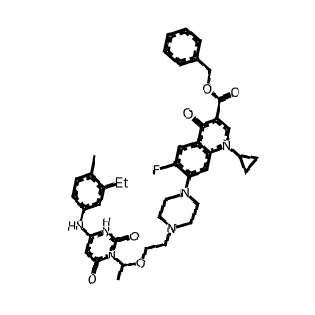 CCc1cc(Nc2cc(=O)n(C(C)OCCN3CCN(c4cc5c(cc4F)c(=O)c(C(=O)OCc4ccccc4)cn5C4CC4)CC3)c(=O)[nH]2)ccc1C